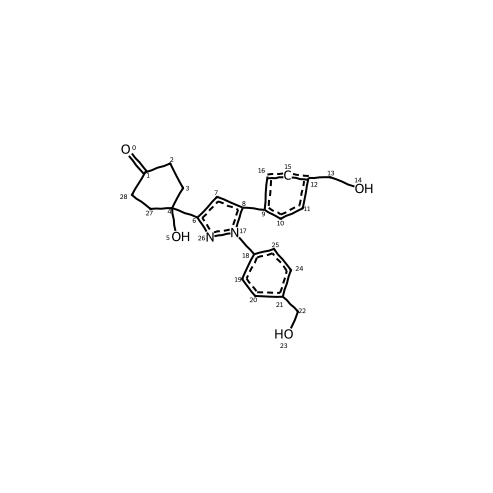 O=C1CCC(O)(c2cc(-c3ccc(CO)cc3)n(-c3ccc(CO)cc3)n2)CC1